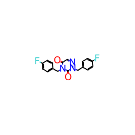 O=c1cnn(Cc2ccc(F)cc2)c(=O)n1Cc1ccc(F)cc1